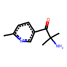 Cc1ccc(C(=O)C(C)(C)N)cn1